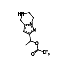 CC(OC(=O)C(F)(F)F)c1cc2n(n1)CCNC2